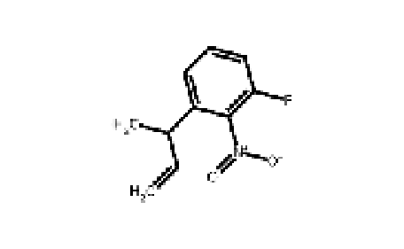 [CH2]C(C=C)c1cccc(F)c1[N+](=O)[O-]